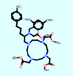 COc1ccc(CN(CC(=O)OC(C)(C)C)C(CCCc2ccc([N+](=O)[O-])cc2)CN2CCN(CC(=O)OC(C)(C)C)CCN(CC(=O)OC(C)(C)C)CCN(CC(=O)OC(C)(C)C)CC2)c(OC)c1